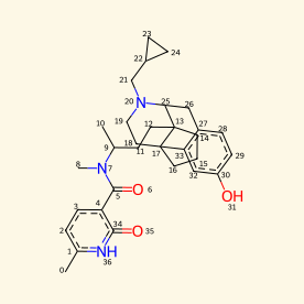 Cc1ccc(C(=O)N(C)C(C)CCC23CCCC24CCN(CC2CC2)C3Cc2ccc(O)cc24)c(=O)[nH]1